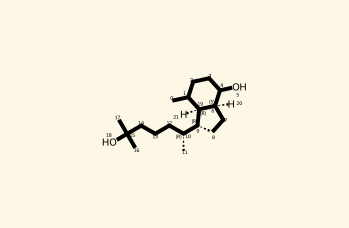 CC1CCC(O)[C@H]2CC[C@H]([C@H](C)CCCC(C)(C)O)[C@@H]12